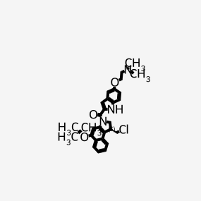 CN(C)CCOc1ccc2[nH]c(C(=O)N3C[C@@H](CCl)c4c3cc(OC(C)(C)C)c3ccccc43)cc2c1